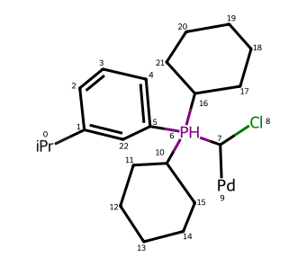 CC(C)c1cccc([PH]([CH](Cl)[Pd])(C2CCCCC2)C2CCCCC2)c1